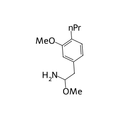 CCCc1ccc(CC(N)OC)cc1OC